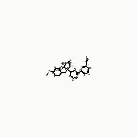 COc1ccc(CC2(c3ccnc(-c4cccc(C#N)c4)c3)NC(=S)NC2=O)cc1